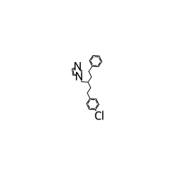 Clc1ccc(CCC(CCc2ccccc2)Cn2ccnc2)cc1